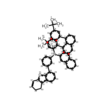 CC(C)(C)c1cc(-c2cccc3cccc(-c4ccccc4N(c4cccc(-c5cccc6c7c(oc56)C=CCC7)c4)c4ccc5ccccc5c4)c23)cc(C(C)(C)C)c1